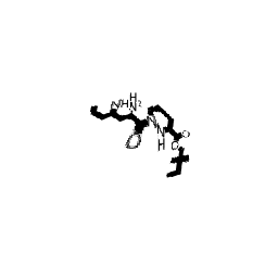 C/C=C\C(=N)C[C@H](N)C(=O)N1CCCC(C(=O)OCC(C)(C)CC)N1